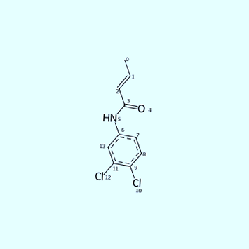 CC=CC(=O)Nc1ccc(Cl)c(Cl)c1